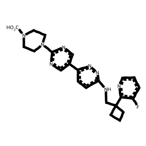 O=C(O)N1CCN(c2ncc(-c3ccc(NCC4(c5ncccc5F)CCC4)nn3)cn2)CC1